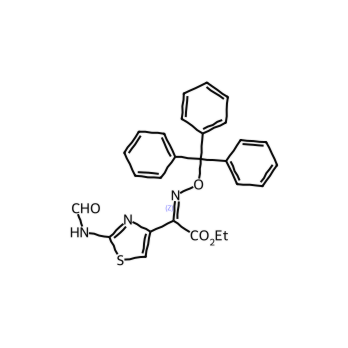 CCOC(=O)/C(=N\OC(c1ccccc1)(c1ccccc1)c1ccccc1)c1csc(NC=O)n1